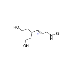 CCNC/C=C/C(CCO)CCO